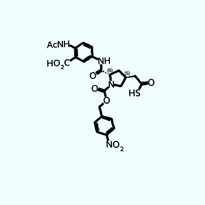 CC(=O)Nc1ccc(NC(=O)[C@@H]2C[C@@H](CC(=O)S)CN2C(=O)OCc2ccc([N+](=O)[O-])cc2)cc1C(=O)O